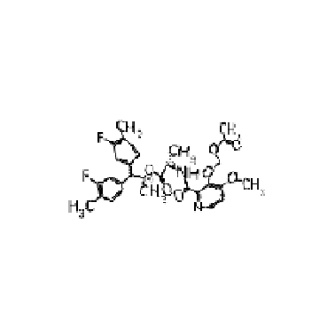 COc1ccnc(C(=O)N[C@@H](C)C(=O)O[C@@H](C)C(c2ccc(C)c(F)c2)c2ccc(C)c(F)c2)c1OCOC(C)=O